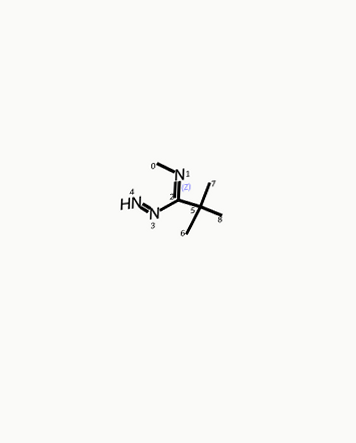 C/N=C(\N=N)C(C)(C)C